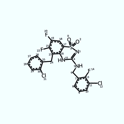 O=S1(=O)N=C(NCc2cccc(Cl)c2F)Nc2c1cc(F)c(F)c2Cc1ccccc1Cl